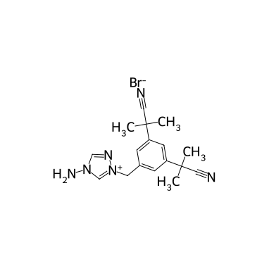 CC(C)(C#N)c1cc(C[n+]2cn(N)cn2)cc(C(C)(C)C#N)c1.[Br-]